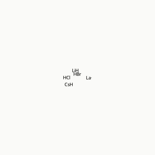 Br.Cl.[CsH].[La].[LiH]